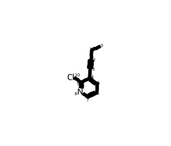 CCC#Cc1cccnc1Cl